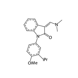 COc1ccc(N2C(=O)C(=CN(C)C)c3ccccc32)cc1C(C)C